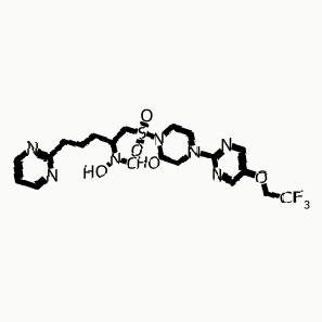 O=CN(O)C(CCCc1ncccn1)CS(=O)(=O)N1CCN(c2ncc(OCC(F)(F)F)cn2)CC1